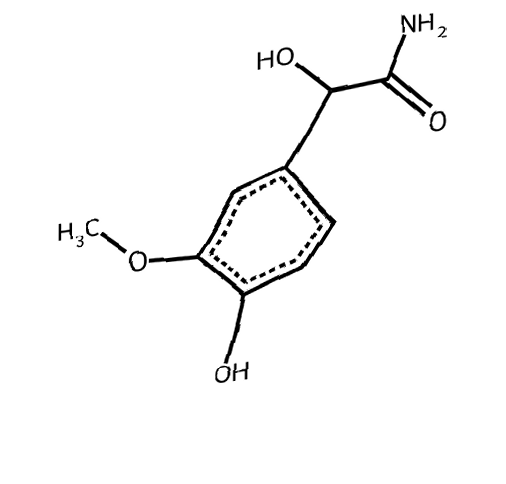 COc1cc(C(O)C(N)=O)ccc1O